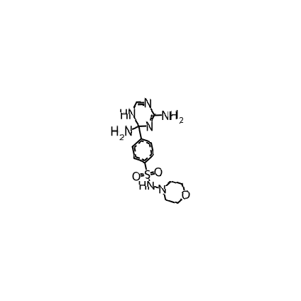 NC1=NC(N)(c2ccc(S(=O)(=O)NN3CCOCC3)cc2)NC=N1